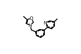 CC1=CN(Cc2cccc(-c3ccc(C)cn3)c2)CO1